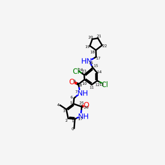 Cc1cc(C)c(CNC(=O)c2cc(Cl)cc(NCC3CCCC3)c2Cl)c(=O)[nH]1